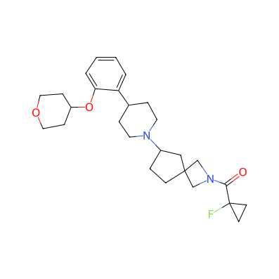 O=C(N1CC2(CCC(N3CCC(c4ccccc4OC4CCOCC4)CC3)C2)C1)C1(F)CC1